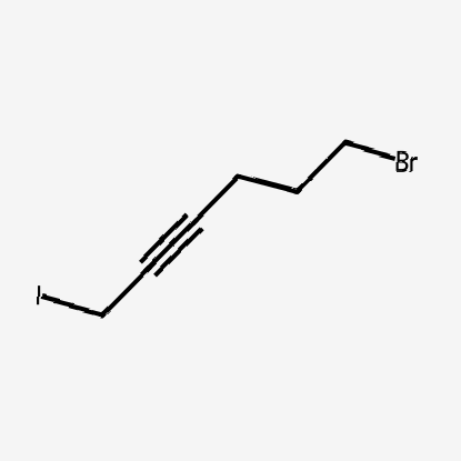 BrCCCC#CCI